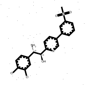 CS(=O)(=O)c1cccc(-c2ccc([C@@H](O)[C@@H](N)c3ccc(Cl)c(Cl)c3)nc2)c1